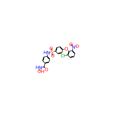 O=C(NO)c1ccc(NS(=O)(=O)c2ccc(Oc3c(Cl)cccc3[N+](=O)[O-])cc2)cc1